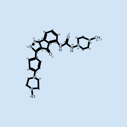 CCN1CCN(c2ccc(C3=C4C(=O)c5c(NC(=O)NN6CCN(C)CC6)cccc5C4N=N3)cc2)CC1